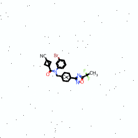 CC(F)(F)c1nc(C23CCC(CN(C(=O)C45CC(C#N)(C4)C5)c4cccc(Br)c4)(CC2)CC3)no1